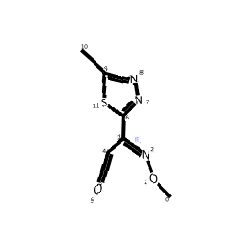 CO/N=C(\[C]=O)c1nnc(C)s1